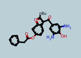 CCCCc1oc2cc(OC(=O)Cc3ccccc3)ccc2c1C(=O)c1cc(N)c(O)c(N)c1